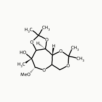 CO[C@H]1OC2COC(C)(C)O[C@H]2[C@@H]2OC(C)(C)OC2[C@@]1(C)O